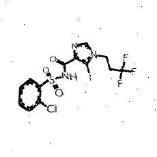 O=C(NS(=O)(=O)c1ccccc1Cl)c1ncn(CCC(F)(F)F)c1I